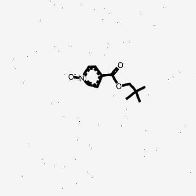 CC(C)(C)COC(=O)c1cc[n+]([O-])cc1